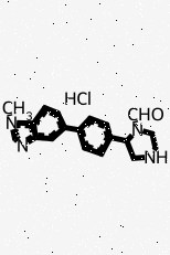 Cl.Cn1cnc2cc(-c3ccc(C4CNCCN4C=O)cc3)ccc21